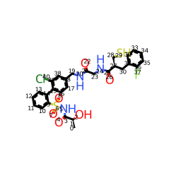 C[C@H](O)C(=O)NS(=O)(=O)c1ccccc1-c1ccc(CNC(=O)CNC(=O)[C@@H](CS)Cc2ccccc2F)cc1Cl